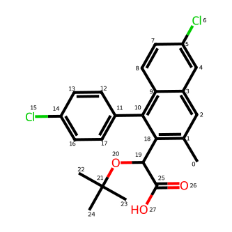 Cc1cc2cc(Cl)ccc2c(-c2ccc(Cl)cc2)c1C(OC(C)(C)C)C(=O)O